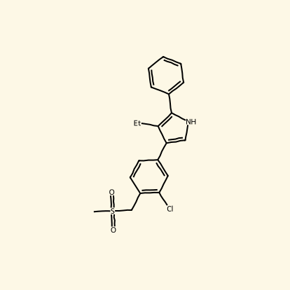 CCc1c(-c2ccc(CS(C)(=O)=O)c(Cl)c2)c[nH]c1-c1ccccc1